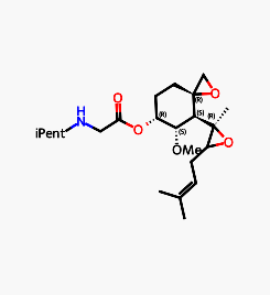 CCCC(C)NCC(=O)O[C@@H]1CC[C@]2(CO2)[C@@H]([C@@]2(C)OC2CC=C(C)C)[C@@H]1OC